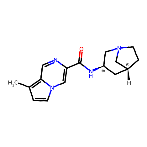 Cc1ccn2cc(C(=O)N[C@@H]3C[C@H]4CCN(C4)C3)ncc12